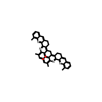 Cc1cccc2cc3c(nc12)-c1nc2c(C)cccc2c(Cc2c4c(nc5c(C)cccc25)-c2nc5c(C)cccc5cc2CC4)c1CC3